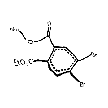 CCCCOC(=O)c1cc(Br)c(Br)cc1C(=O)OCC